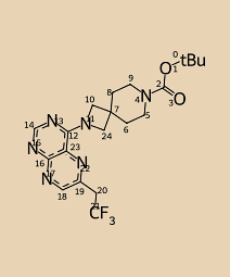 CC(C)(C)OC(=O)N1CCC2(CC1)CN(c1ncnc3ncc(CC(F)(F)F)nc13)C2